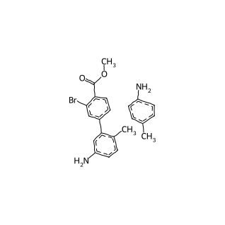 COC(=O)c1ccc(-c2cc(N)ccc2C)cc1Br.Cc1ccc(N)cc1